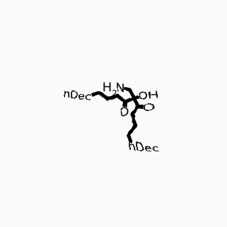 CCCCCCCCCCCCCC(=O)C(O)(CN)C(=O)CCCCCCCCCCCCC